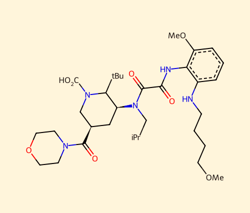 COCCCCNc1cccc(OC)c1NC(=O)C(=O)N(CC(C)C)[C@H]1C[C@@H](C(=O)N2CCOCC2)CN(C(=O)O)C1C(C)(C)C